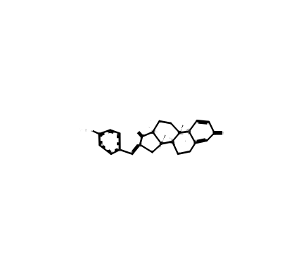 CSc1ccc(C=C2C[C@H]3[C@@H]4CCC5=CC(=O)C=C[C@]5(C)[C@H]4CC[C@]3(C)C2=O)cc1